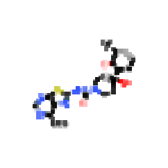 COc1ncnc2sc(NC(=O)N3CC[C@@](O)(c4cccc(C(F)(F)F)c4)[C@H](O)C3)nc12